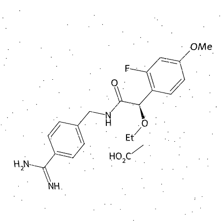 CC(=O)O.CCO[C@@H](C(=O)NCc1ccc(C(=N)N)cc1)c1ccc(OC)cc1F